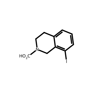 O=C(O)N1CCc2cccc(I)c2C1